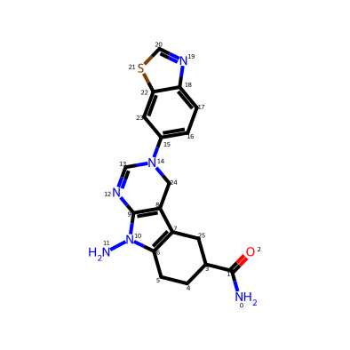 NC(=O)C1CCc2c(c3c(n2N)N=CN(c2ccc4ncsc4c2)C3)C1